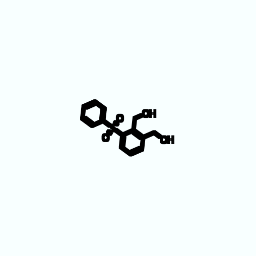 O=S(=O)(c1ccccc1)c1cccc(CO)c1CO